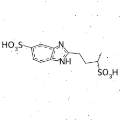 CC(CCc1nc2cc(S(=O)(=O)O)ccc2[nH]1)S(=O)(=O)O